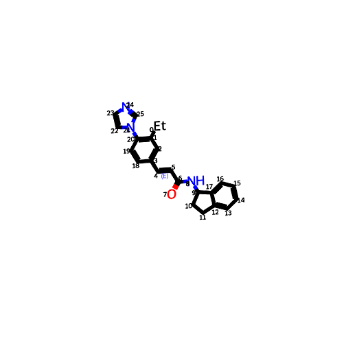 CCc1cc(/C=C/C(=O)NC2CCc3ccccc32)ccc1-n1ccnc1